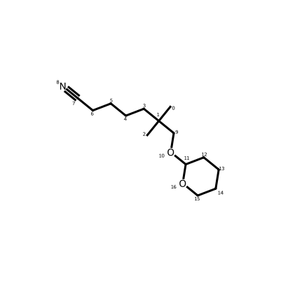 CC(C)(CCCCC#N)COC1CCCCO1